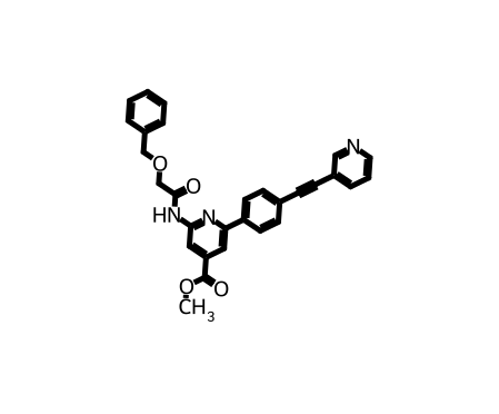 COC(=O)c1cc(NC(=O)COCc2ccccc2)nc(-c2ccc(C#Cc3cccnc3)cc2)c1